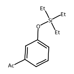 CC[Si](CC)(CC)Oc1cccc(C(C)=O)c1